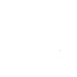 CCCCCCCCCCCCCCCCCC(=O)OC1CC(C)(C)N(OC(C)c2ccccc2)C(CC)(CC)C1